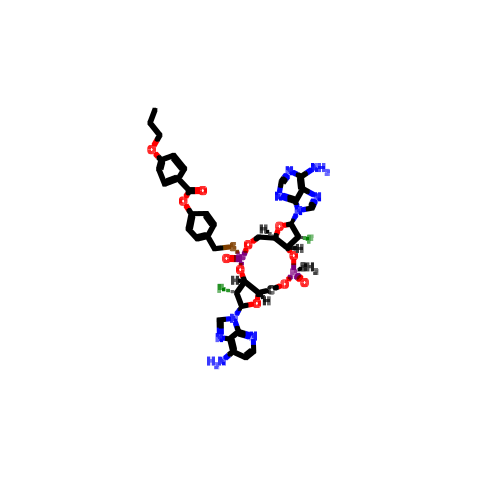 B[P@]1(=O)OC[C@H]2O[C@@H](n3cnc4c(N)ccnc43)[C@H](F)[C@@H]2O[P@](=O)(SCc2ccc(OC(=O)c3ccc(OCCC)cc3)cc2)OC[C@H]2O[C@@H](n3cnc4c(N)ncnc43)[C@H](F)[C@@H]2O1